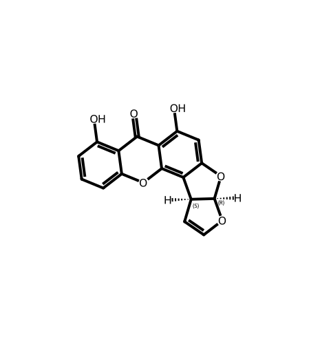 O=c1c2c(O)cccc2oc2c3c(cc(O)c12)O[C@H]1OC=C[C@@H]31